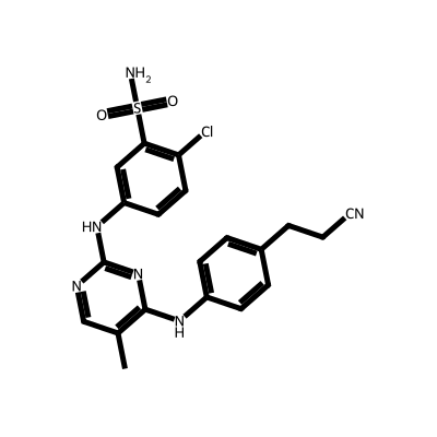 Cc1cnc(Nc2ccc(Cl)c(S(N)(=O)=O)c2)nc1Nc1ccc(CCC#N)cc1